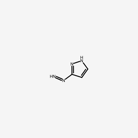 N=Nc1cc[nH]n1